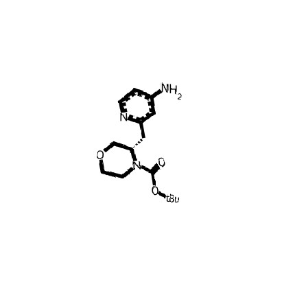 CC(C)(C)OC(=O)N1CCOC[C@@H]1Cc1cc(N)ccn1